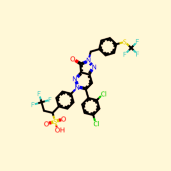 O=c1c2nn(-c3ccc(C(CC(F)(F)F)S(=O)(=O)O)cc3)c(-c3ccc(Cl)cc3Cl)cc-2nn1Cc1ccc(SC(F)(F)F)cc1